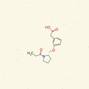 CCC(=O)N1CCC[C@H]1COc1cccc(CC(=O)O)c1